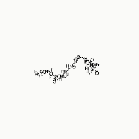 CC(C)C[C@H](NC(=O)[C@@H](O)[C@H](C)Cc1ccccc1)C(=O)NCCOCCN1CC[C@]2(CCN(CCC(=O)NCCCNc3cc(N4CCC5(CC4)CN(c4cc(F)c(CN6CCC(C)(C)CC6)cc4F)CC(=O)N5)ncn3)C2)C1